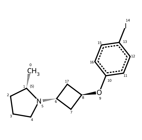 C[C@H]1CCCN1[C@H]1C[C@H](Oc2ccc(I)cc2)C1